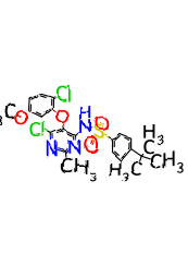 COc1ccc(Cl)c(Oc2c(Cl)nc(C)nc2NS(=O)(=O)c2ccc(C(C)(C)C)cc2)c1